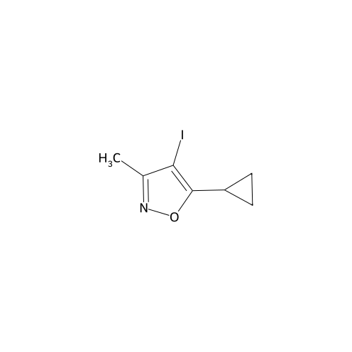 Cc1noc(C2CC2)c1I